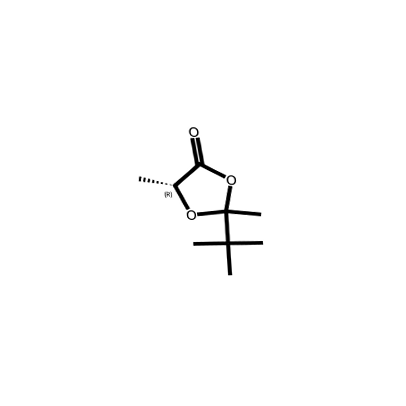 C[C@H]1OC(C)(C(C)(C)C)OC1=O